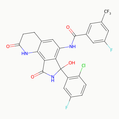 O=C1CCc2cc(NC(=O)c3cc(F)cc(C(F)(F)F)c3)c3c(c2N1)C(=O)NC3(O)c1cc(F)ccc1Cl